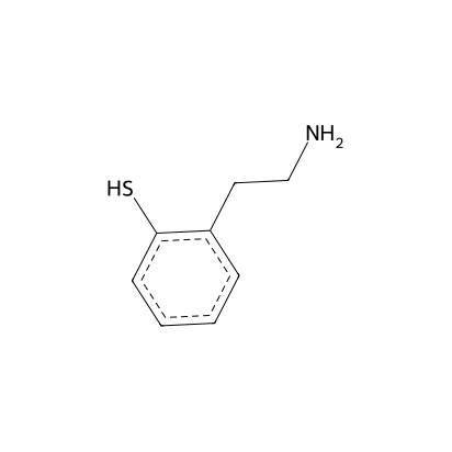 NCCc1ccccc1S